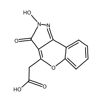 O=C(O)Cc1oc2ccccc2c2nn(O)c(=O)c1-2